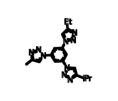 CCc1cn(-c2cc(-n3cc(C)nn3)cc(-n3cc(C(C)C)nn3)c2)nn1